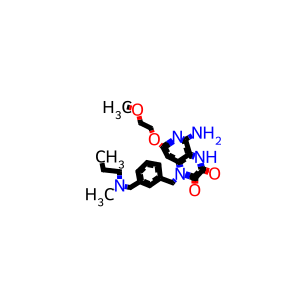 CCCN(C)Cc1cccc(Cn2c(=O)c(=O)[nH]c3c(N)nc(OCCOC)cc32)c1